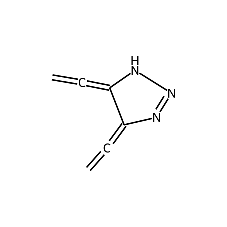 C=C=c1nn[nH]c1=C=C